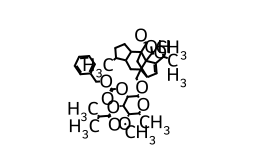 CO[C@H]1[C@@H](OC(=O)C(C)C)[C@H](OC(=O)OCc2ccccc2)[C@H](OCC23CC4C(C)CCC4C4(C=O)CC2C=C(C(C)C)C43C(=O)O)O[C@@H]1C